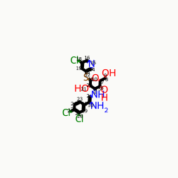 N/C(=C\NC1C(O)C(CO)OC(Sc2cncc(Cl)c2)C1O)c1ccc(Cl)c(Cl)c1